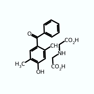 Cc1cc(C(=O)c2ccccc2)c(C)cc1O.O=C(O)CNCC(=O)O